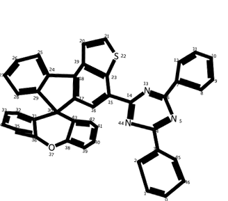 c1ccc(-c2nc(-c3ccccc3)nc(-c3cc4c(c5ccsc35)-c3ccccc3C43c4ccccc4Oc4ccccc43)n2)cc1